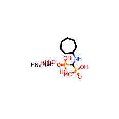 O.O.O=P(O)(O)C(NC1CCCCCC1)P(=O)(O)O.[NaH].[NaH]